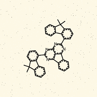 CC1(C)c2ccccc2-c2c(-c3nc4c5c(nc(-c6cccc7c6-c6ccccc6C7(C)C)nc5n3)-c3ccccc3-4)cccc21